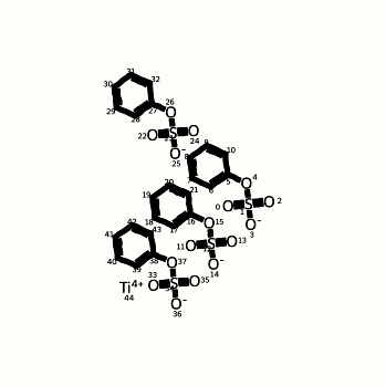 O=S(=O)([O-])Oc1ccccc1.O=S(=O)([O-])Oc1ccccc1.O=S(=O)([O-])Oc1ccccc1.O=S(=O)([O-])Oc1ccccc1.[Ti+4]